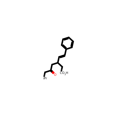 CC(C)CC(=O)CC(C=Cc1ccccc1)CC(=O)O